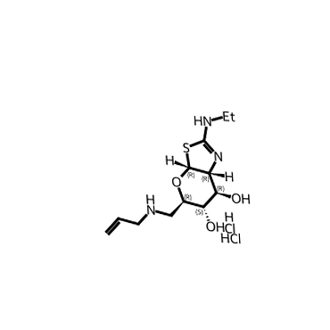 C=CCNC[C@H]1O[C@@H]2SC(NCC)=N[C@@H]2[C@@H](O)[C@@H]1O.Cl.Cl